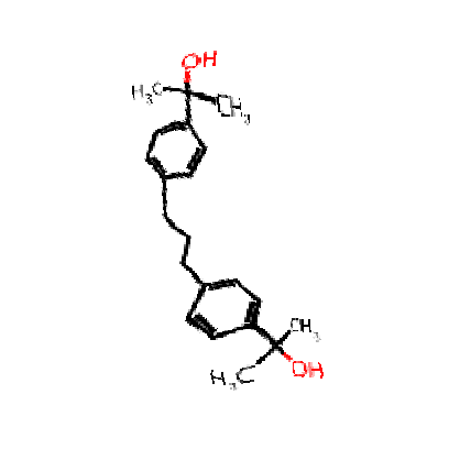 CC(C)(O)c1ccc(CCCc2ccc(C(C)(C)O)cc2)cc1